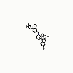 COc1cc(/C=C2\CCCN([C@@H]3c4ccc(F)cc4C[C@@H]3O)C2=O)ccc1-n1cnc(C)c1